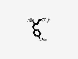 CCCCC(C=CC(=O)O)=Cc1ccc(OC)cc1